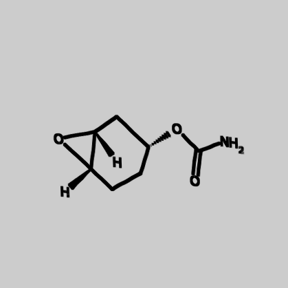 NC(=O)O[C@@H]1CC[C@@H]2O[C@@H]2C1